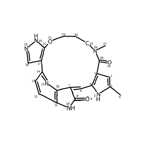 Cc1cc2c([nH]1)/C=C1\C(=O)Nc3ccc(nc31)-c1cn[nH]c1OCCCN(C)C2=O